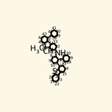 CC1(C)c2cc(Nc3cccc(-c4cccc5c4sc4ccccc45)c3-c3ccccc3)ccc2-c2c(-c3ccccc3)cccc21